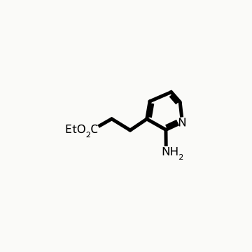 CCOC(=O)CCc1cccnc1N